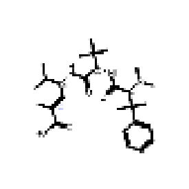 C/C(=C\[C@@H](NC(=O)[C@@H](NC(=O)[C@@H](N(C)C)C(C)(C)c1ccccc1)C(C)(C)C)C(C)C)C(=O)O